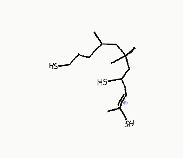 C/C(S)=C\C(S)CC(C)(C)CC(C)CCCS